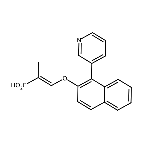 C/C(=C\Oc1ccc2ccccc2c1-c1cccnc1)C(=O)O